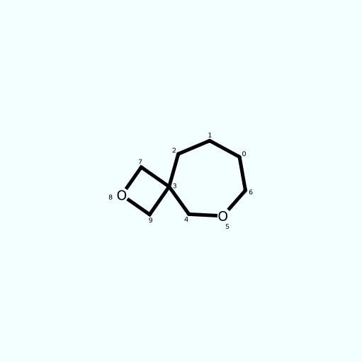 C1CCC2(COC1)COC2